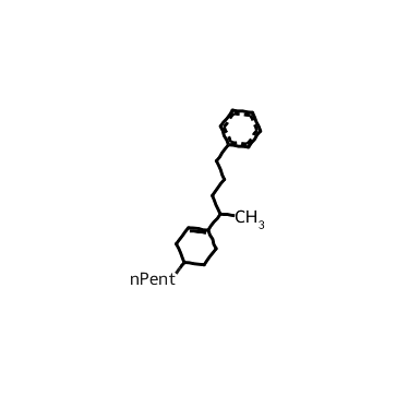 CCCCCC1CC=C(C(C)CCCc2ccccc2)CC1